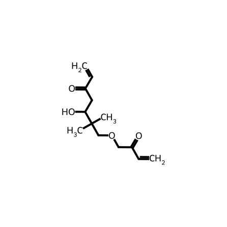 C=CC(=O)COCC(C)(C)C(O)CC(=O)C=C